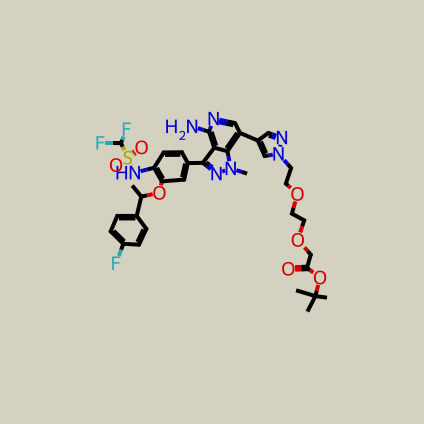 CC(Oc1cc(-c2nn(C)c3c(-c4cnn(CCOCCOCC(=O)OC(C)(C)C)c4)cnc(N)c23)ccc1NS(=O)(=O)C(F)F)c1ccc(F)cc1